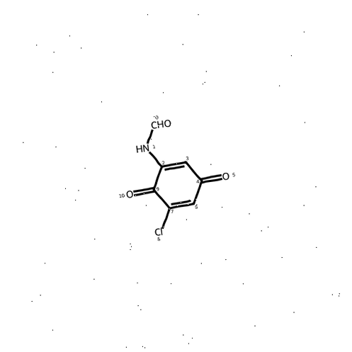 O=CNC1=CC(=O)C=C(Cl)C1=O